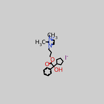 Cc1n(CCCOC(=O)C(O)(c2ccccc2)C2CCCC2)cc[n+]1C.[I-]